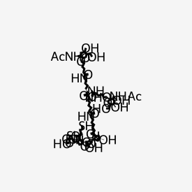 CC(=O)NC1CC(O)C(CO)O[C@H]1OCCCCC(=O)NCCCC[C@H](NC(=O)CCCCO[C@@H]1OC(CO)[C@H](O)[C@H](O)C1NC(C)=O)C(=O)NCCCCCC(=O)NCCCCCC(=O)N1C[C@H](O)C[C@H]1COP(=O)(O)O[C@@H]1C[C@@H](COP(=O)(S)OO)N(C(=O)CCCS)C1